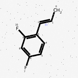 [CH2]/C=C/c1ccc(F)cc1F